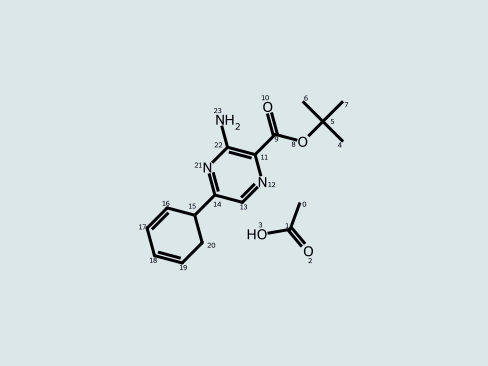 CC(=O)O.CC(C)(C)OC(=O)c1ncc(C2C=CC=CC2)nc1N